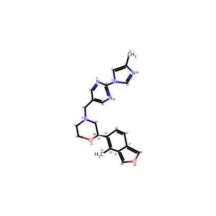 Cc1cn(-c2ncc(CN3CCO[C@H](c4ccc5cocc5c4C)C3)cn2)cn1